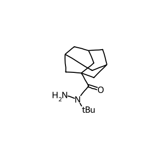 CC(C)(C)N(N)C(=O)C12CC3CC(CC(C3)C1)C2